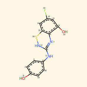 Oc1ccc(NC2=Nc3c(O)cc(F)cc3SN2)cc1